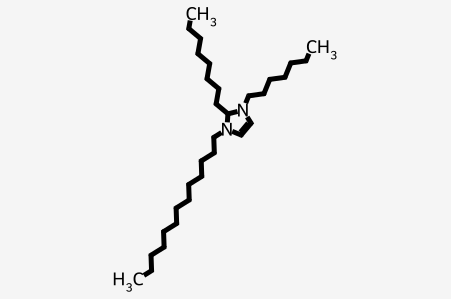 CCCCCCCCCCCCCN1C=CN(CCCCCCC)C1CCCCCCCC